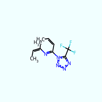 C\C=C/C(=N\C(C)=C/C)n1nnnc1C(F)(F)F